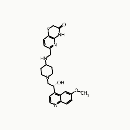 COc1ccc2nccc([C@@H](O)CN3CCC(NCc4ccc5c(n4)NC(=O)CS5)CC3)c2c1